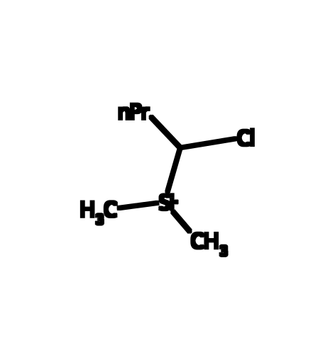 CCCC(Cl)[Si](C)C